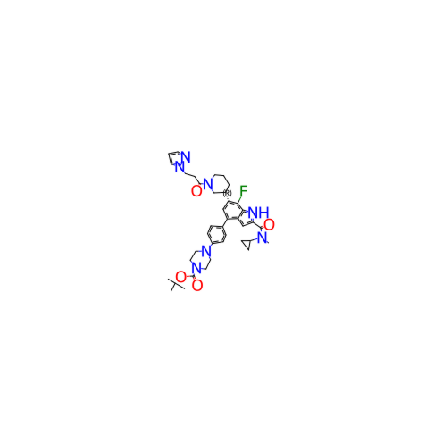 CN(C(=O)c1cc2c(-c3ccc(N4CCN(C(=O)OC(C)(C)C)CC4)cc3)cc([C@H]3CCCN(C(=O)CCn4cccn4)C3)c(F)c2[nH]1)C1CC1